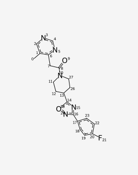 Cc1cncnc1CC(=O)N1CCC(c2nc(-c3ccc(F)cc3)no2)CC1